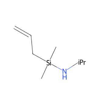 C=CC[Si](C)(C)NC(C)C